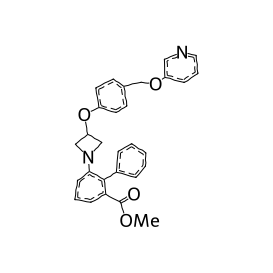 COC(=O)c1cccc(N2CC(Oc3ccc(COc4cccnc4)cc3)C2)c1-c1ccccc1